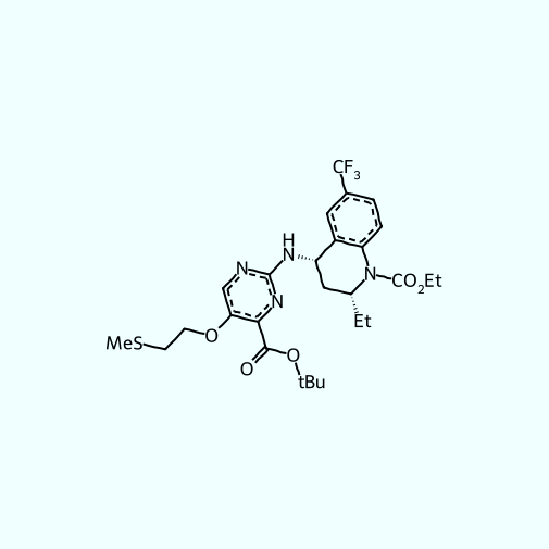 CCOC(=O)N1c2ccc(C(F)(F)F)cc2[C@@H](Nc2ncc(OCCSC)c(C(=O)OC(C)(C)C)n2)C[C@H]1CC